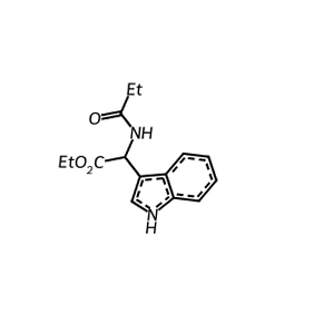 CCOC(=O)C(NC(=O)CC)c1c[nH]c2ccccc12